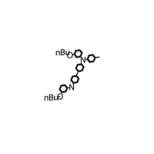 CCCCOc1cccc(N(C)c2ccc(-c3ccc(N(c4ccc(C)cc4)c4cccc(OCCCC)c4)cc3)cc2)c1